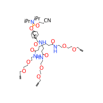 C#CCOCCOCCNC(=O)CCC(CCC(=O)NCCOCCOCC#C)(CCC(=O)NCCOCCOCC#C)NC(=O)C12CCC(OP(OCCC#N)N(C(C)C)C(C)C)(CC1)CC2